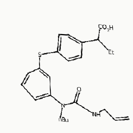 C=CCNC(=O)N(CCCC)c1cccc(Sc2ccc(C(CC)C(=O)O)cc2)c1